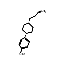 C=CCC[C@H]1CC[C@H](c2ccc(C=O)cc2)CC1